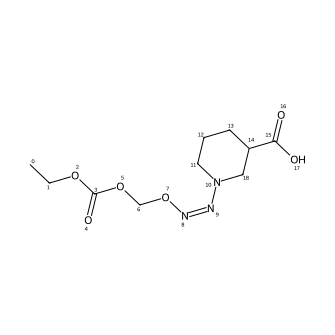 CCOC(=O)OCO/N=N\N1CCCC(C(=O)O)C1